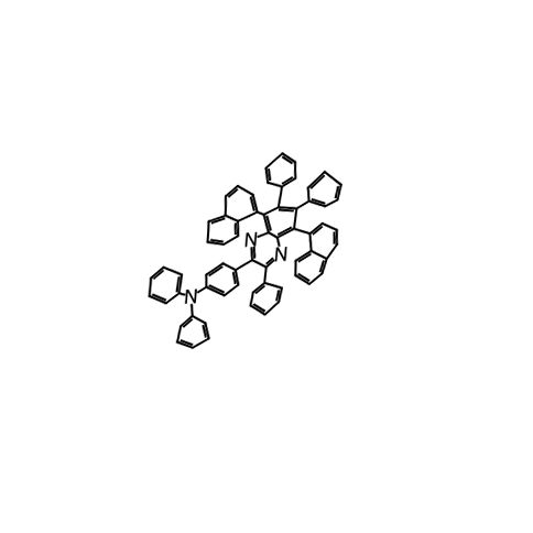 c1ccc(-c2nc3c(-c4cccc5ccccc45)c(-c4ccccc4)c(-c4ccccc4)c(-c4cccc5ccccc45)c3nc2-c2ccc(N(c3ccccc3)c3ccccc3)cc2)cc1